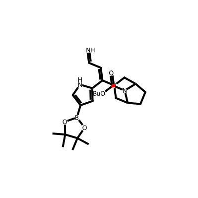 CC(C)COC(=O)N1C2CCC1CN(/C(=C/C=N)c1cc(B3OC(C)(C)C(C)(C)O3)c[nH]1)C2